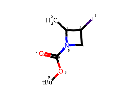 CC1C(I)CN1C(=O)OC(C)(C)C